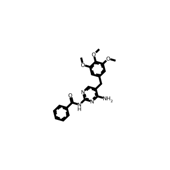 COc1cc(Cc2cnc(NC(=O)c3ccccc3)nc2N)cc(OC)c1OC